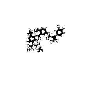 CC(C)(C)OC(=O)N(C(=O)O)c1c(F)cc(C(C)(C)C)c(NC(=O)c2cc(NC(=O)[C@H]3[C@H](c4ccc(F)c(Cl)c4)C3(Cl)Cl)ccc2Cl)c1F